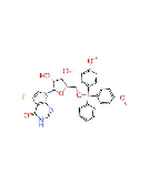 COc1ccc(C(OC[C@H]2O[C@@H](n3cc(F)c4c(=O)[nH]cnc43)[C@H](O)[C@@H]2O)(c2ccccc2)c2ccc(OC)cc2)cc1